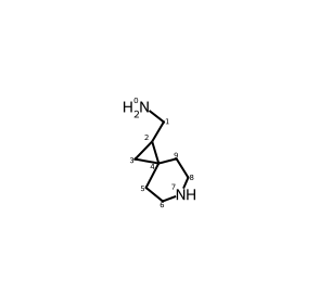 NCC1CC12CCNCC2